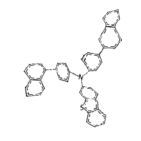 c1ccc2cc(-c3ccc(N(c4ccc(-c5cccc6ccccc56)cc4)c4ccc5c(c4)sc4ccccc45)cc3)ccc2c1